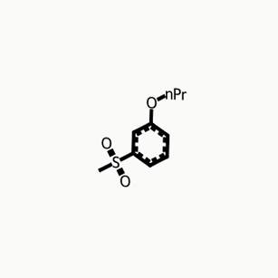 [CH2]CCOc1cccc(S(C)(=O)=O)c1